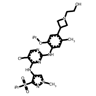 Cc1cc(Nc2ncc(Cl)c(Nc3cn(C)nc3S(=O)(=O)C(C)C)n2)c(OC(C)C)cc1C1CN(CCO)C1